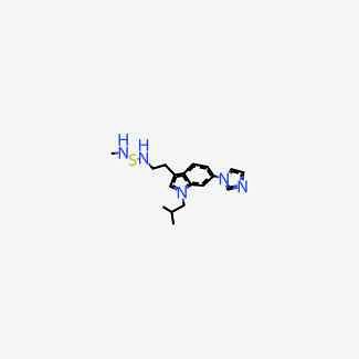 CNSNCCc1cn(CC(C)C)c2cc(-n3ccnc3)ccc12